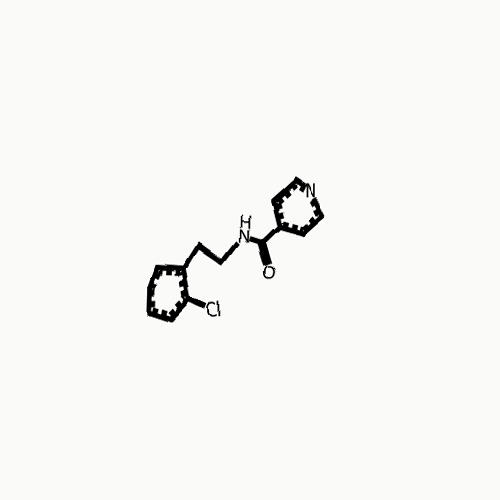 O=C(NCCc1ccccc1Cl)c1ccncc1